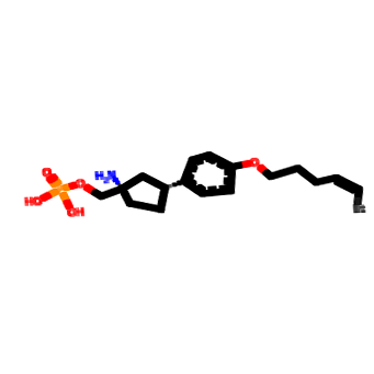 CC/C=C\CCCOc1ccc([C@@H]2CC[C@@](N)(COP(=O)(O)O)C2)cc1